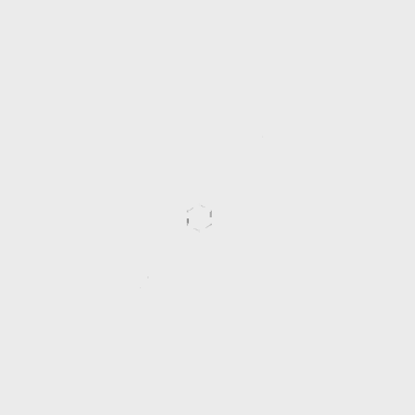 Cc1cc(CCCCC2(C)CC2)c(C)cc1CCCCCCC(C)(C)C